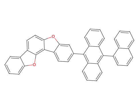 c1ccc2c(-c3c4ccccc4c(-c4ccc5c(c4)oc4ccc6c7ccccc7oc6c45)c4ccccc34)cccc2c1